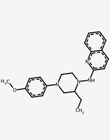 CCC1CN(c2ccc(OC)cc2)CCN1Nc1ccc2ccccc2n1